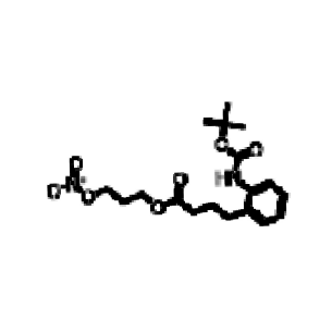 CC(C)(C)OC(=O)Nc1ccccc1CCCC(=O)OCCCO[N+](=O)[O-]